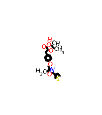 CCC(C)OC(Cc1ccc(OCc2nc(-c3ccsc3)oc2C)cc1)C(=O)O